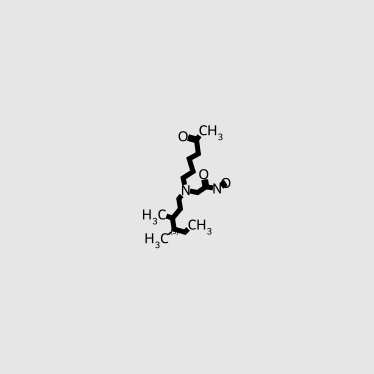 CC[C@H](C)C(C)CCN(CCCCC(C)=O)CC(=O)N=O